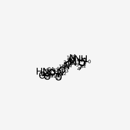 Cc1cc(C)cc(Nc2ncc3c(n2)CN(C2CCN(C(=O)c4ccc5[nH]c(=O)oc5c4)CC2)C3)c1